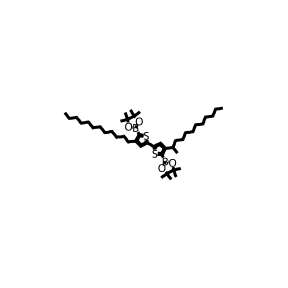 CCCCCCCCCCCCc1cc(-c2cc(C(C)CCCCCCCCCC)c(B3OC(C)(C)C(C)(C)O3)s2)sc1B1OC(C)(C)C(C)(C)O1